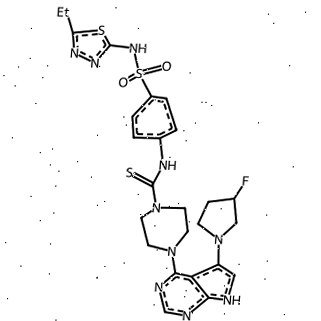 CCc1nnc(NS(=O)(=O)c2ccc(NC(=S)N3CCN(c4ncnc5[nH]cc(N6CCC(F)C6)c45)CC3)cc2)s1